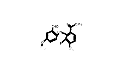 COC(=O)c1ccc(C(F)(F)F)c(F)c1Nc1ccc(OC(F)(F)F)cc1C=O